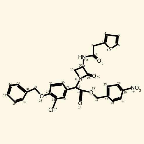 O=C(Cc1cccs1)N[C@@H]1CN(C(C(=O)OCc2ccc([N+](=O)[O-])cc2)c2ccc(OCc3ccccc3)c(Cl)c2)C1=O